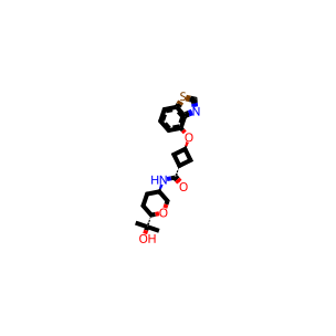 CC(C)(O)[C@@H]1CC[C@@H](NC(=O)[C@H]2C[C@H](Oc3cccc4scnc34)C2)CO1